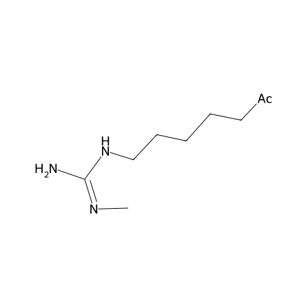 C/N=C(/N)NCCCCCC(C)=O